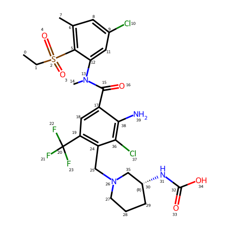 CCS(=O)(=O)c1c(C)cc(Cl)cc1N(C)C(=O)c1cc(C(F)(F)F)c(CN2CCC[C@@H](NC(=O)O)C2)c(Cl)c1N